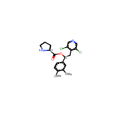 COc1ccc([C@H](Cc2c(Cl)cncc2Cl)OC(=O)[C@@H]2CCCN2)cc1OC